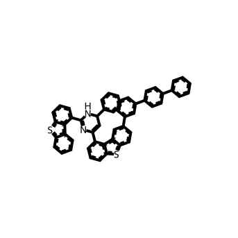 C1=C(c2cccc3sc4ccc(-c5cccc(-c6ccc(-c7ccccc7)cc6)c5)cc4c23)N=C(c2cccc3sc4ccccc4c23)NC1c1ccccc1